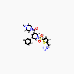 CN1CCN(C(=O)[C@H]2C[C@@H](c3ccccc3)CN(S(=O)(=O)c3ccc(CN)s3)C2)CC1